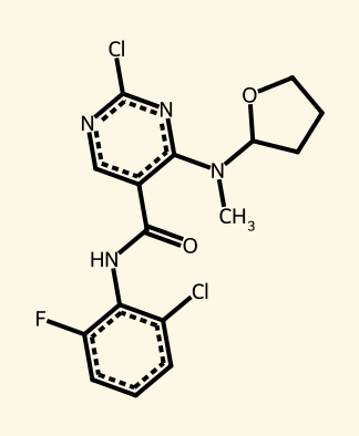 CN(c1nc(Cl)ncc1C(=O)Nc1c(F)cccc1Cl)C1CCCO1